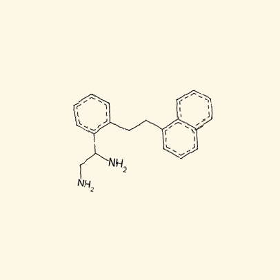 NCC(N)c1ccccc1CCc1cccc2ccccc12